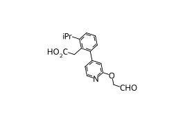 CC(C)c1cccc(-c2ccnc(OCC=O)c2)c1CC(=O)O